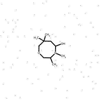 CC1COCC(C)(C)CC(O)N1C